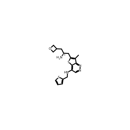 Cc1c(C[C@@H](N)CC2COC2)sc2c(NCc3cccs3)cnnc12